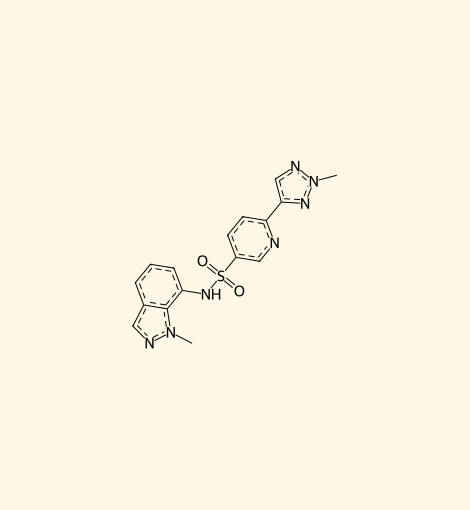 Cn1ncc(-c2ccc(S(=O)(=O)Nc3cccc4cnn(C)c34)cn2)n1